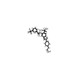 CC(C)(O)c1cc2nn(C3CCC(CCO)CC3)cc2cc1NC(=O)c1cccc(C(F)(F)F)n1